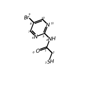 O=C(CS)Nc1ncc(Br)cn1